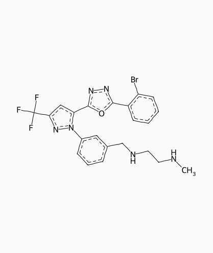 CNCCNCc1cccc(-n2nc(C(F)(F)F)cc2-c2nnc(-c3ccccc3Br)o2)c1